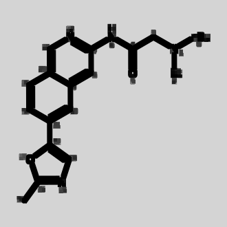 CCCCN(CC)CC(=O)Nc1cc2cc(-c3cnc(C)o3)ccc2cn1